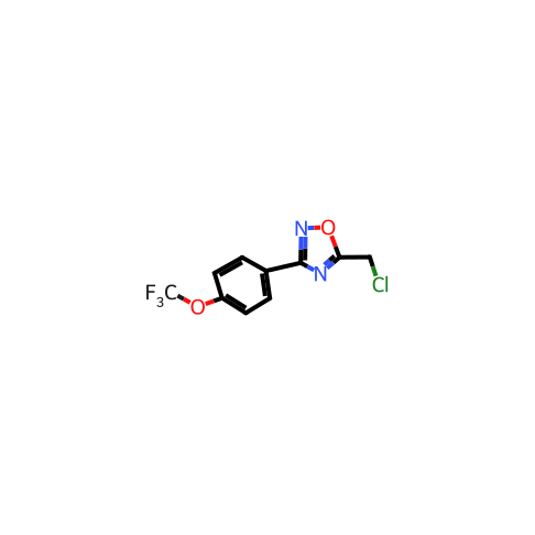 FC(F)(F)Oc1ccc(-c2noc(CCl)n2)cc1